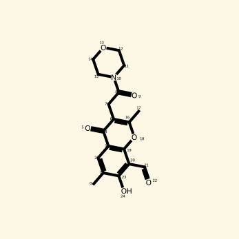 Cc1cc2c(=O)c(CC(=O)N3CCOCC3)c(C)oc2c(C=O)c1O